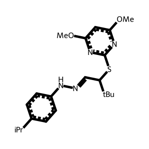 COc1cc(OC)nc(SC(C=NNc2ccc(C(C)C)cc2)C(C)(C)C)n1